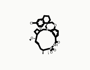 CO[C@H]1/C=C/C[C@H](C)[C@@H](C)S(=O)(=O)NC(=O)c2ccc3c(c2)N(C[C@@H]2CCC21)C[C@@]1(CCCc2cc(Cl)ccc21)CO3